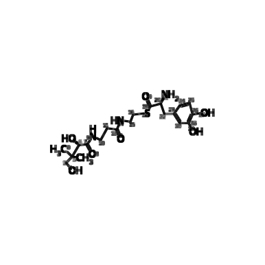 CC(C)(CO)[C@@H](O)C(=O)NCCC(=O)NCCSC(=O)[C@@H](N)Cc1ccc(O)c(O)c1